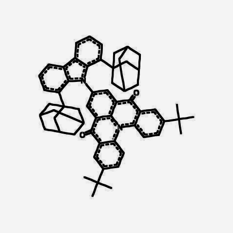 CC(C)(C)c1ccc2c(c1)c(=O)c1cc(-n3c4c(C56CC7CC(CC(C7)C5)C6)cccc4c4cccc(C56CC7CC(CC(C7)C5)C6)c43)cc3c(=O)c4cc(C(C)(C)C)ccc4n2c13